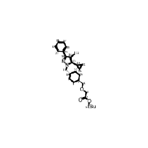 CC(C)(C)OC(=O)COC[C@H]1CC[C@H](Cn2nc(-c3ccccc3)c(I)c2C2CC2)CC1